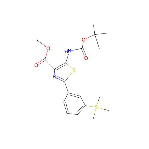 COC(=O)c1nc(-c2cccc(S(C)(C)C)c2)sc1NC(=O)OC(C)(C)C